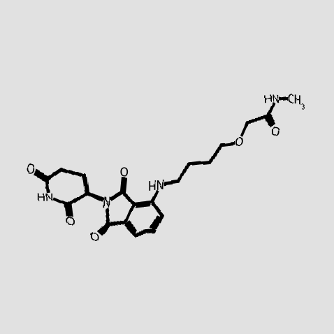 CNC(=O)COCCCCNc1cccc2c1C(=O)N(C1CCC(=O)NC1=O)C2=O